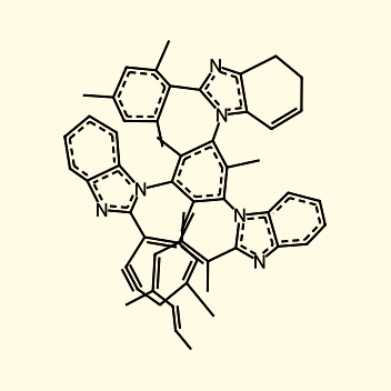 CC=C/C(C)=C\C(C)=C(/C)c1nc2ccccc2n1-c1c(C)c(-n2c(-c3c(C)cc(C)cc3C)nc3c2C=CCC3)c(C)c(-n2c(C3=C(C)C=C(C)CC#C3)nc3ccccc32)c1C